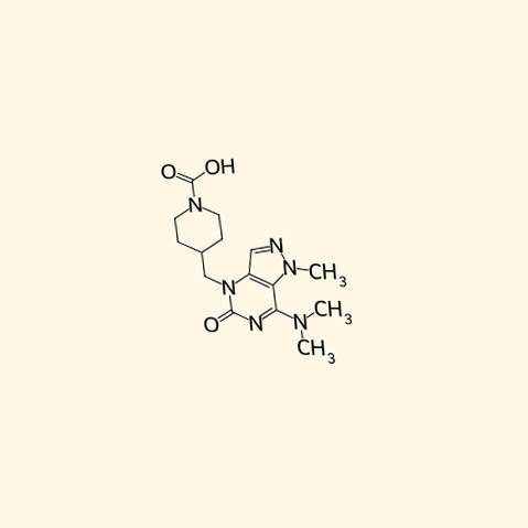 CN(C)c1nc(=O)n(CC2CCN(C(=O)O)CC2)c2cnn(C)c12